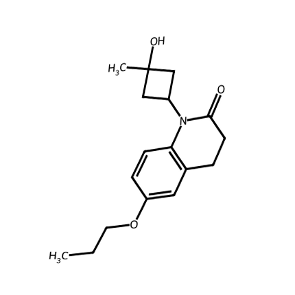 CCCOc1ccc2c(c1)CCC(=O)N2C1CC(C)(O)C1